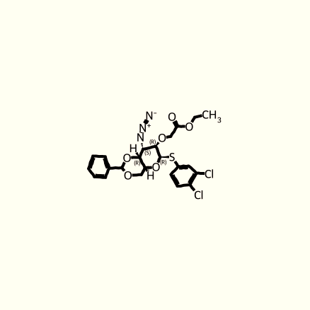 CCOC(=O)CO[C@@H]1[C@@H](N=[N+]=[N-])[C@H]2OC(c3ccccc3)OC[C@H]2O[C@@H]1Sc1ccc(Cl)c(Cl)c1